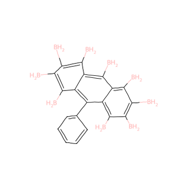 Bc1c(B)c(B)c2c(-c3ccccc3)c3c(B)c(B)c(B)c(B)c3c(B)c2c1B